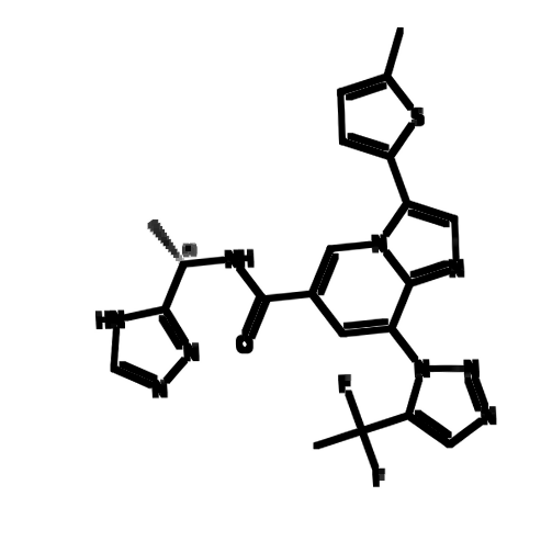 Cc1ccc(-c2cnc3c(-n4nncc4C(C)(F)F)cc(C(=O)N[C@@H](C)c4nnc[nH]4)cn23)s1